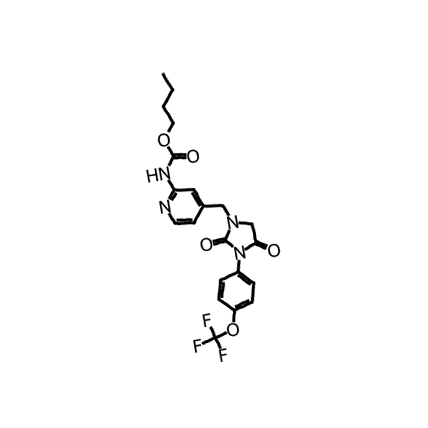 CCCCOC(=O)Nc1cc(CN2CC(=O)N(c3ccc(OC(F)(F)F)cc3)C2=O)ccn1